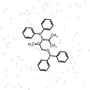 CC(C)N([C@H](C)COP(c1ccccc1)c1ccccc1)P(c1ccccc1)c1ccccc1